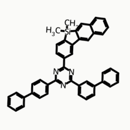 C[Si]1(C)c2ccc(-c3nc(-c4ccc(-c5ccccc5)cc4)nc(-c4cccc(-c5ccccc5)c4)n3)cc2-c2cc3ccccc3cc21